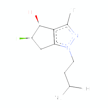 CC(C#N)CCn1nc(C(F)(F)F)c2c1C[C@@H](F)[C@H]2O